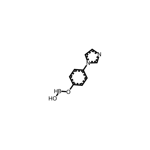 OBOc1ccc(-n2ccnc2)cc1